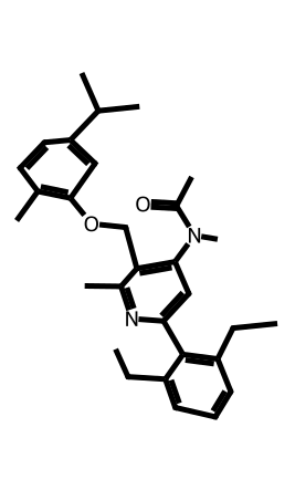 CCc1cccc(CC)c1-c1cc(N(C)C(C)=O)c(COc2cc(C(C)C)ccc2C)c(C)n1